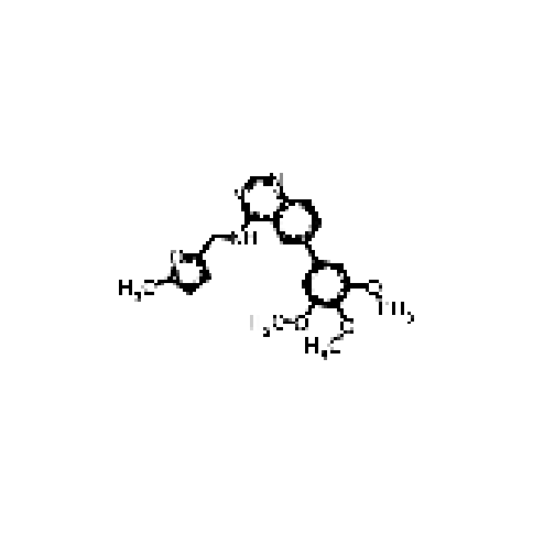 COc1cc(-c2ccc3ncnc(NCc4ccc(C)o4)c3c2)cc(OC)c1OC